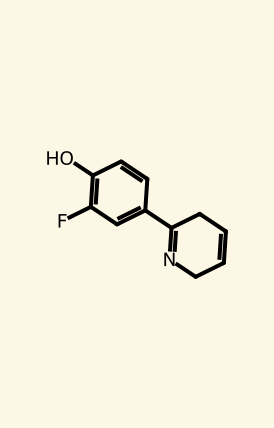 Oc1ccc(C2=NCC=CC2)cc1F